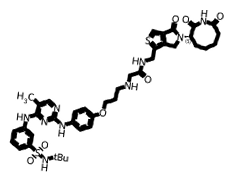 Cc1cnc(Nc2ccc(OCCCNCC(=O)NCc3scc4c3CN([C@H]3CCCCC(=O)NC3=O)C4=O)cc2)nc1Nc1cccc(S(=O)(=O)NC(C)(C)C)c1